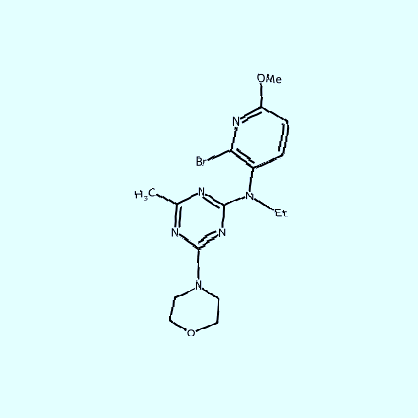 CCN(c1nc(C)nc(N2CCOCC2)n1)c1ccc(OC)nc1Br